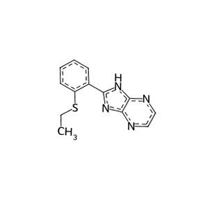 CCSc1ccccc1-c1nc2nccnc2[nH]1